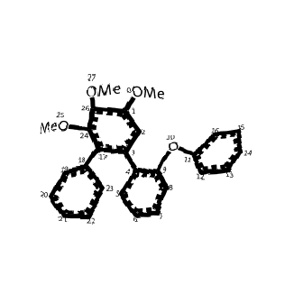 COc1[c]c(-c2ccccc2Oc2ccccc2)c(-c2ccccc2)c(OC)c1OC